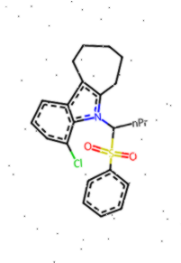 CCCC(n1c2c(c3cccc(Cl)c31)CCCCC2)S(=O)(=O)c1ccccc1